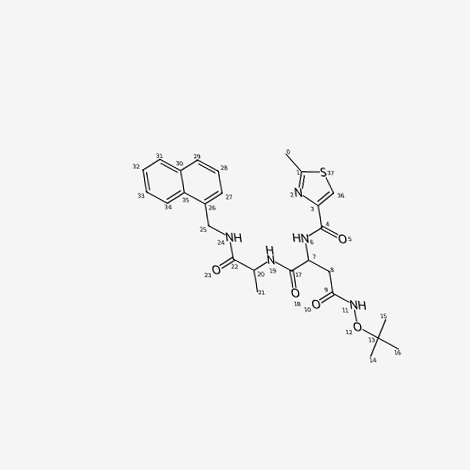 Cc1nc(C(=O)NC(CC(=O)NOC(C)(C)C)C(=O)NC(C)C(=O)NCc2cccc3ccccc23)cs1